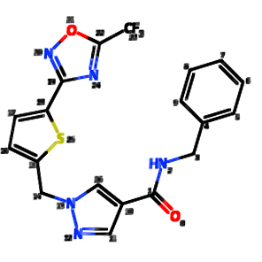 O=C(NCc1ccccc1)c1cnn(Cc2ccc(-c3noc(C(F)(F)F)n3)s2)c1